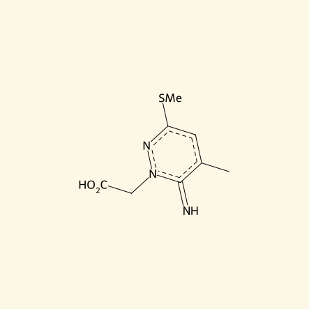 CSc1cc(C)c(=N)n(CC(=O)O)n1